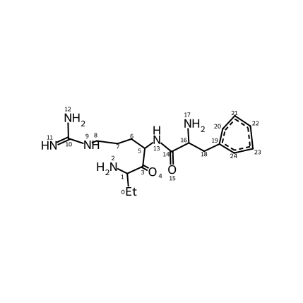 CCC(N)C(=O)C(CCCNC(=N)N)NC(=O)C(N)Cc1ccccc1